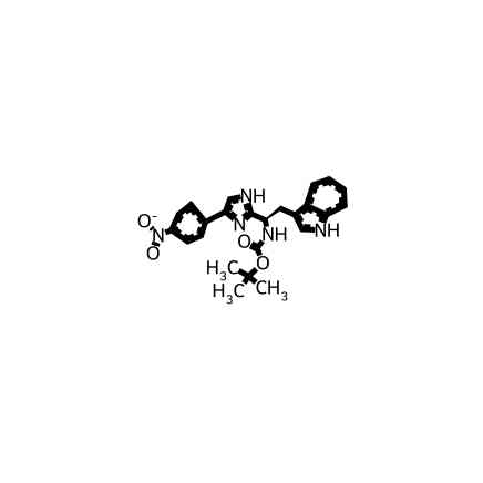 CC(C)(C)OC(=O)N[C@H](Cc1c[nH]c2ccccc12)c1nc(-c2ccc([N+](=O)[O-])cc2)c[nH]1